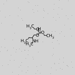 CCO[SiH](OCC)OCC(CC)NC